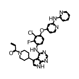 C=CC(=O)N1CCC(c2c[nH]c3ncnc(Nc4ccc(Oc5ccnc(Nc6ccccn6)c5)c(Cl)c4F)c23)CC1